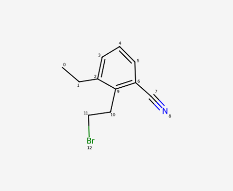 CCc1cccc(C#N)c1CCBr